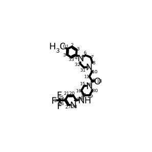 Cc1ccc(N2CCCN(CCC(=O)N3CCC(Nc4ccc(C(F)(F)F)cn4)CC3)CC2)cc1